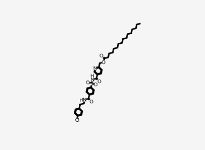 CCCCCCCCCCCCCCCC(=O)OCc1ccc(C(=O)NS(=O)(=O)c2ccc(C(=O)NCCc3ccc(Cl)cc3)cc2)cn1